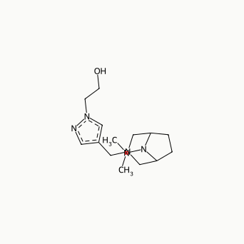 CN(C)N1C2CCC1CN(Cc1cnn(CCO)c1)C2